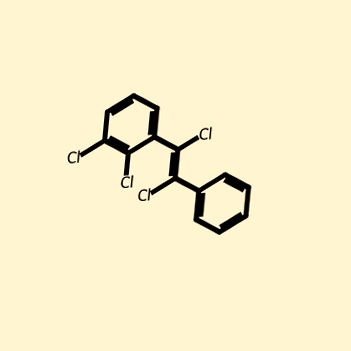 ClC(=C(Cl)c1cccc(Cl)c1Cl)c1ccccc1